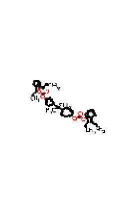 C=CCC12C=CC(C1)CC2(CC=C)OC(=O)Oc1ccc(C(C)(C)c2ccc(OC(=O)OC3(CC=C)CC4C=CC3(CC=C)C4)cc2)cc1